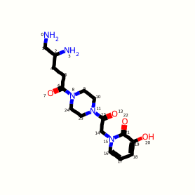 NCC(N)CCC(=O)N1CCN(C(=O)Cn2cccc(O)c2=O)CC1